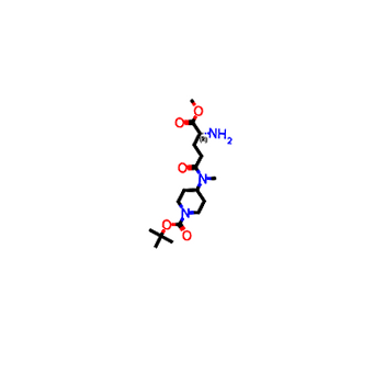 COC(=O)[C@H](N)CCC(=O)N(C)C1CCN(C(=O)OC(C)(C)C)CC1